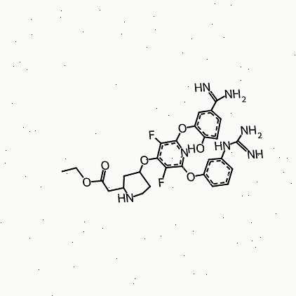 CCOC(=O)CC1CC(Oc2c(F)c(Oc3cccc(NC(=N)N)c3)nc(Oc3cc(C(=N)N)ccc3O)c2F)CCN1